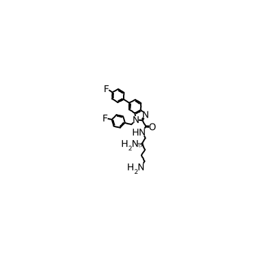 NCCC[C@H](N)CNC(=O)c1nc2ccc(-c3ccc(F)cc3)cc2n1Cc1ccc(F)cc1